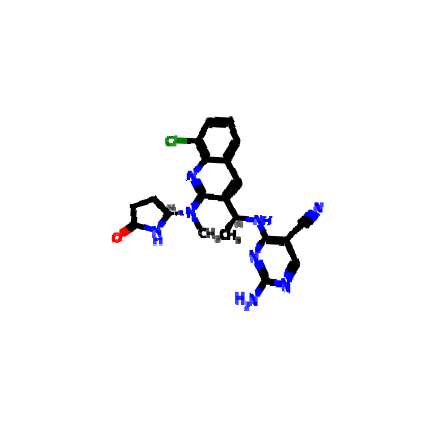 C[C@H](Nc1nc(N)ncc1C#N)c1cc2cccc(Cl)c2nc1N(C)[C@H]1CCC(=O)N1